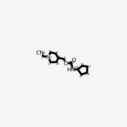 [C-]#[N+]CN1CCC(COC(=O)NC2CCCC2)CC1